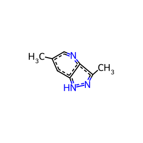 Cc1cnc2c(C)n[nH]c2c1